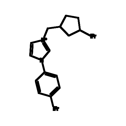 CC(C)c1ccc(-n2cc[n+](CC3CCC(C(C)C)C3)c2)cc1